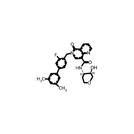 Cc1cc(C)cc(-c2ccc(Cn3cc(C(=O)N[C@H]4CCOC[C@@H]4O)c4ncccc4c3=O)c(F)c2)c1